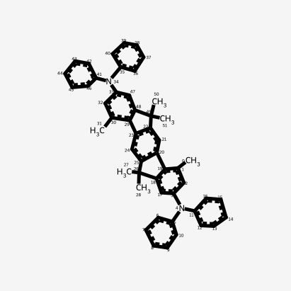 Cc1cc(N(c2ccccc2)c2ccccc2)cc2c1-c1cc3c(cc1C2(C)C)-c1c(C)cc(N(c2ccccc2)c2ccccc2)cc1C3(C)C